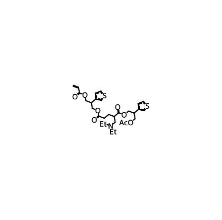 C=CC(=O)OCC(COC(=O)CCC(CN(CC)CC)C(=O)OCC(COC(C)=O)c1ccsc1)c1ccsc1